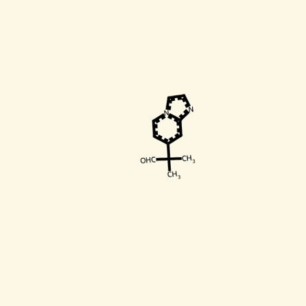 CC(C)(C=O)c1ccn2ccnc2c1